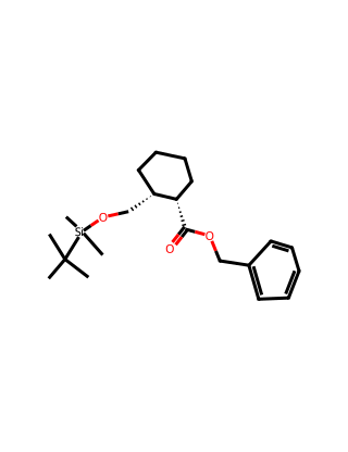 CC(C)(C)[Si](C)(C)OC[C@@H]1CCCC[C@@H]1C(=O)OCc1ccccc1